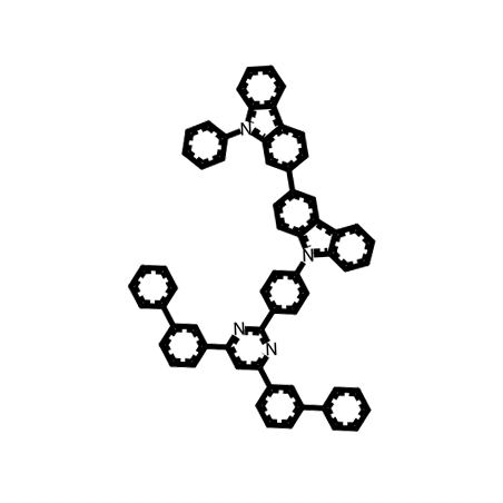 c1ccc(-c2cccc(-c3cc(-c4cccc(-c5ccccc5)c4)nc(-c4ccc(-n5c6ccccc6c6cc(-c7ccc8c9ccccc9n(-c9ccccc9)c8c7)ccc65)cc4)n3)c2)cc1